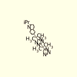 CC(C)c1ccc2cc(C(C)(C)c3nnc(C(C)(C)c4cncnn4)nn3)ccc2n1